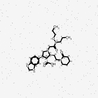 CCCON(CCC)C(=O)CN1C[C@H](c2ccc3c(c2)OCO3)[C@@H](C(=O)O)[C@@H]1CCN1CCCCC1=O